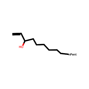 C=CC(O)CCCCCCCCCCC